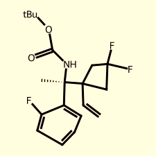 C=CC1([C@](C)(NC(=O)OC(C)(C)C)c2ccccc2F)CC(F)(F)C1